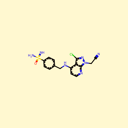 N#CCn1nc(Cl)c2c(NCc3ccc(S(=N)(N)=O)cc3)ccnc21